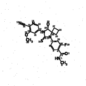 CNC(=O)c1ccc(N2C(=S)N(c3cnc(C#N)c(OC)c3)C(=O)C23CCC3)cc1F